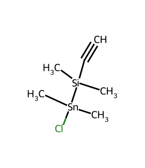 C#C[Si](C)(C)[Sn]([CH3])([CH3])[Cl]